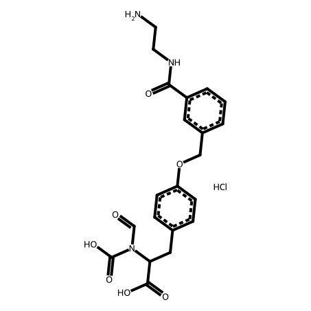 Cl.NCCNC(=O)c1cccc(COc2ccc(CC(C(=O)O)N(C=O)C(=O)O)cc2)c1